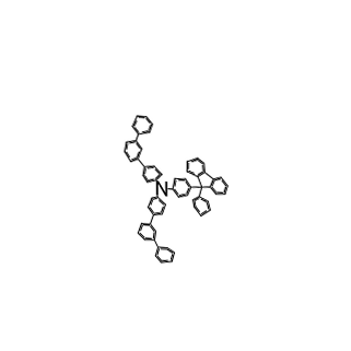 c1ccc(-c2cccc(-c3ccc(N(c4ccc(-c5cccc(-c6ccccc6)c5)cc4)c4ccc(C5(c6ccccc6)c6ccccc6-c6ccccc65)cc4)cc3)c2)cc1